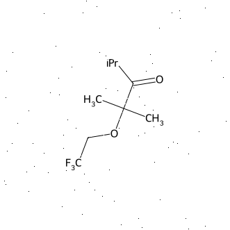 CC(C)C(=O)C(C)(C)OCC(F)(F)F